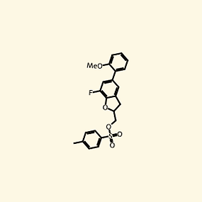 COc1ccccc1-c1cc(F)c2c(c1)CC(COS(=O)(=O)c1ccc(C)cc1)O2